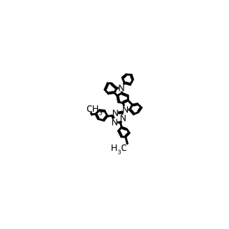 CCc1ccc(-c2nc(-c3ccc(CC)cc3)nc(-n3c4ccccc4c4cc5c(cc43)c3ccccc3n5-c3ccccc3)n2)cc1